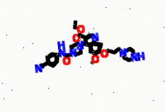 CCOC(=O)c1cnc2cc(OCCCN3CCNCC3)c(OC)cc2c1N1CCN(C(=O)Nc2ccc(C#N)cc2)CC1